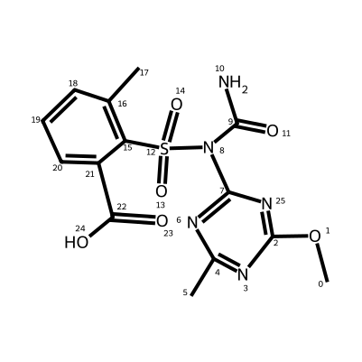 COc1nc(C)nc(N(C(N)=O)S(=O)(=O)c2c(C)cccc2C(=O)O)n1